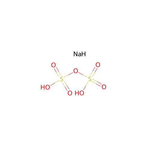 O=S(=O)(O)OS(=O)(=O)O.[NaH]